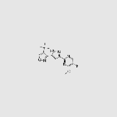 COc1nc(-c2cc(-c3nocc3C(C)(C)C)[nH]n2)ncc1F